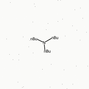 [CH2]CCCN(CCCC)CCCC